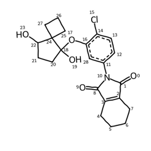 O=C1C2=C(CCCC2)C(=O)N1c1ccc(Cl)c(OC2(O)CCC(O)C23CCC3)c1